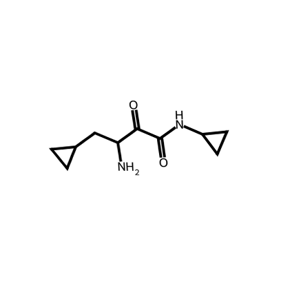 NC(CC1CC1)C(=O)C(=O)NC1CC1